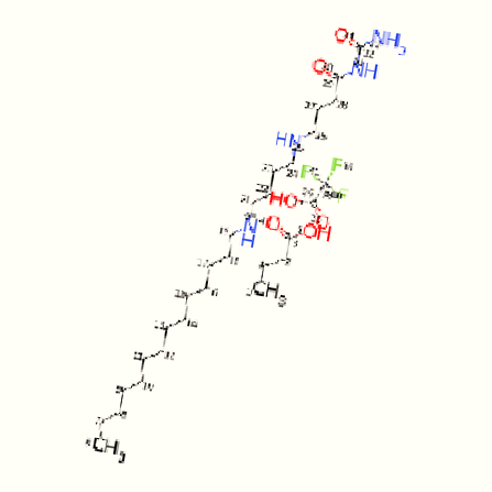 CCCC(=O)O.CCCCCCCCCCCCCCNCCCCNCCCC(=O)NC(N)=O.O=C(O)C(F)(F)F